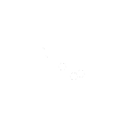 CN1CCN(CCOc2ccc(Cc3c(OCC(C)(C)O)ccc4ccccc34)cc2)CC1.Cl